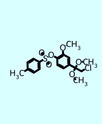 COc1cc(C(CCl)(OC)OC)ccc1OS(=O)(=O)c1ccc(C)cc1